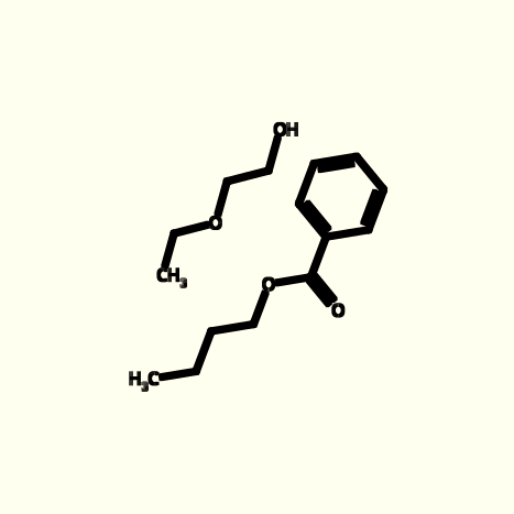 CCCCOC(=O)c1ccccc1.CCOCCO